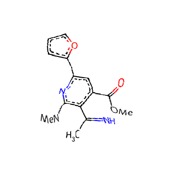 CNc1nc(-c2ccco2)cc(C(=O)OC)c1C(C)=N